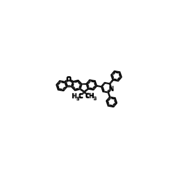 CC1(C)c2cc(C3=CC(c4ccccc4)=NC(c4ccccc4)C3)ccc2-c2cc3oc4ccccc4c3cc21